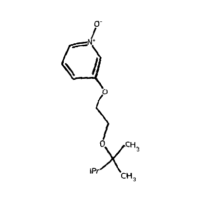 CC(C)C(C)(C)OCCOc1ccc[n+]([O-])c1